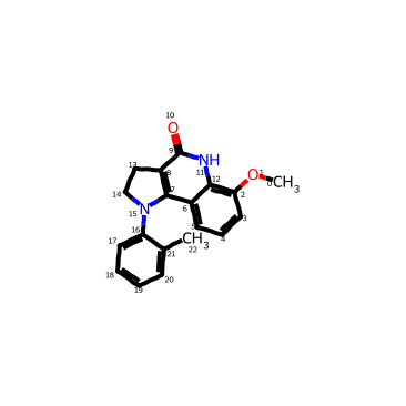 COc1cccc2c3c(c(=O)[nH]c12)CCN3c1ccccc1C